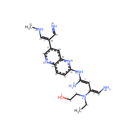 CCN(CCO)C(/C=C(\N)Nc1ccc2ncc(/C(C=N)=C/NC)cc2n1)=C/N